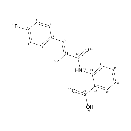 C/C(=C\c1ccc(F)cc1)C(=O)Nc1ccccc1C(=O)O